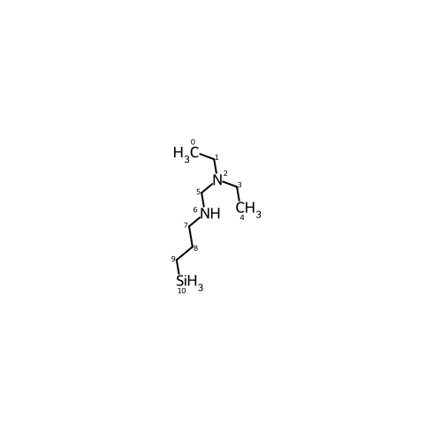 CCN(CC)CNCCC[SiH3]